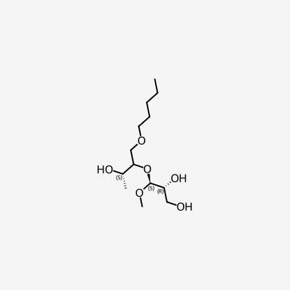 CCCCCOCC(O[C@H](OC)[C@H](O)CO)[C@H](C)O